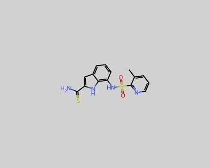 Cc1cccnc1S(=O)(=O)Nc1cccc2cc(C(N)=S)[nH]c12